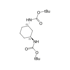 CC(C)(C)OC(=O)N[C@H]1CCC[C@H](NC(=O)OC(C)(C)C)C1